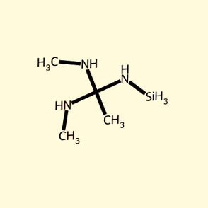 CNC(C)(NC)N[SiH3]